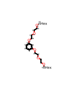 CCCCCCOCCOCCOc1cccc(OCCOCCOCCCCCC)c1